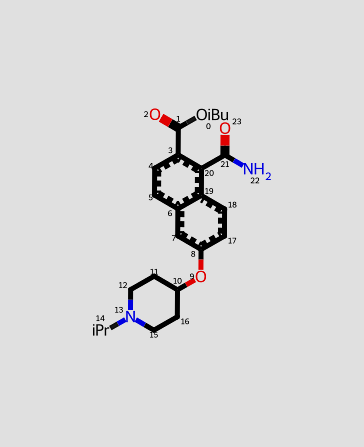 CC(C)COC(=O)c1ccc2cc(OC3CCN(C(C)C)CC3)ccc2c1C(N)=O